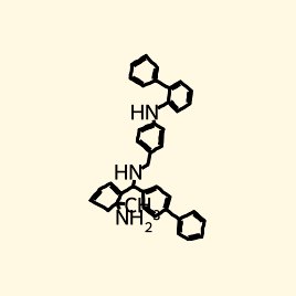 CC1(N)CC=CC=C1C(NCc1ccc(Nc2ccccc2-c2ccccc2)cc1)c1ccc(-c2ccccc2)cc1